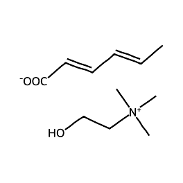 CC=CC=CC(=O)[O-].C[N+](C)(C)CCO